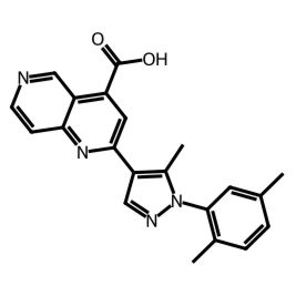 Cc1ccc(C)c(-n2ncc(-c3cc(C(=O)O)c4cnccc4n3)c2C)c1